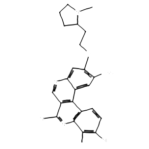 COc1cc2c(cc1OCCC1CCCN1C)ncc1c(N)nc3c(C)c(N)ccc3c12